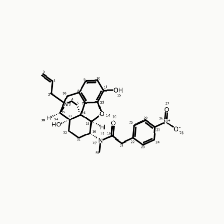 C=CCN1CC[C@]23c4c5ccc(O)c4O[C@H]2[C@H](N(C)C(=O)Cc2ccc([N+](=O)[O-])cc2)CC[C@@]3(O)[C@H]1C5